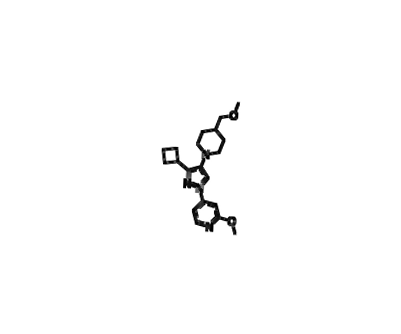 COCC1CCN(c2cn(-c3ccnc(OC)c3)nc2C2CCC2)CC1